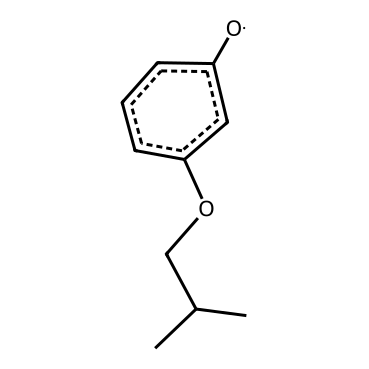 CC(C)COc1cccc([O])c1